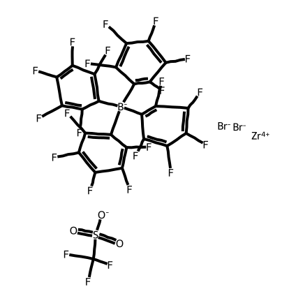 Fc1c(F)c(F)c([B-](c2c(F)c(F)c(F)c(F)c2F)(c2c(F)c(F)c(F)c(F)c2F)c2c(F)c(F)c(F)c(F)c2F)c(F)c1F.O=S(=O)([O-])C(F)(F)F.[Br-].[Br-].[Zr+4]